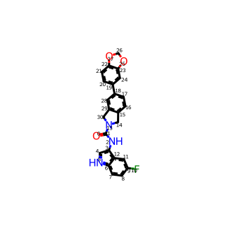 O=C(Nc1c[nH]c2ccc(F)cc12)N1Cc2ccc(-c3ccc4c(c3)OCO4)cc2C1